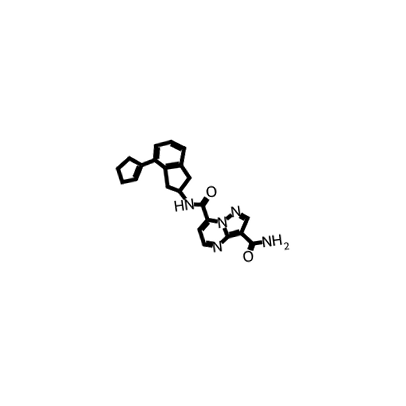 NC(=O)c1cnn2c(C(=O)NC3Cc4cccc(C5=CCCC5)c4C3)ccnc12